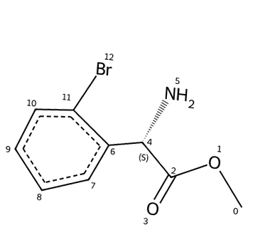 COC(=O)[C@@H](N)c1ccccc1Br